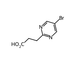 O=C(O)CCc1ncc(Br)cn1